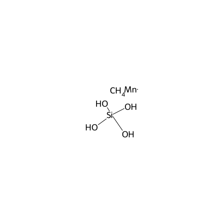 C.O[Si](O)(O)O.[Mn]